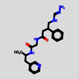 NN=CNCC(CC(=O)NCC(=O)NC(Cc1cccnc1)C(=O)O)c1ccccc1